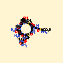 CC[C@H](C)[C@@H]1NC(=O)[C@H](Cc2ccc(O)cc2)NC(=O)[C@@H](N(C)C)CSCC(=O)N[C@@H](C(=O)NCCNC(=O)CSC[C@H](N)C(=O)O)CCCNC(=O)CSC[C@@H](C(=O)N2CCC[C@H]2C(=O)N[C@@H](C)C(=O)NCC(N)=O)NC(=O)[C@H](CC(N)=O)NC(=O)[C@H](CCC(N)=O)NC1=O